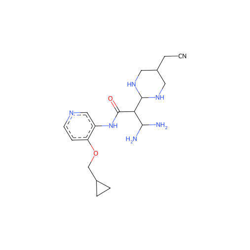 N#CCC1CNC(C(C(=O)Nc2cnccc2OCC2CC2)C(N)N)NC1